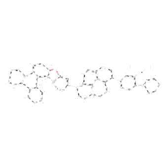 CC1(C)c2ccccc2-c2ccc(-c3ccc4ccc5c(-c6ccc7c(c6)oc6ccc8c9ccccc9c9ccccc9c8c67)ccc6ccc3c4c65)cc21